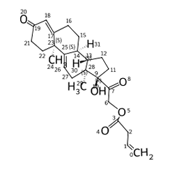 C=CCC(=O)OCC(=O)[C@@]1(O)CC[C@H]2[C@@H]3CCC4=CC(=O)CC[C@]4(C)C3=CC[C@@]21C